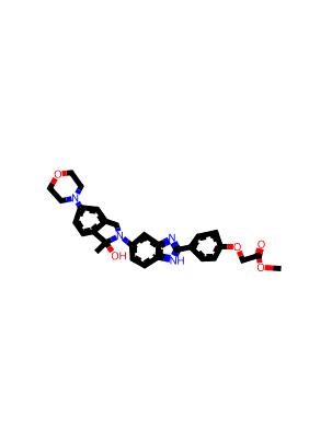 COC(=O)COc1ccc(-c2nc3cc(N4Cc5cc(N6CCOCC6)ccc5C4(C)O)ccc3[nH]2)cc1